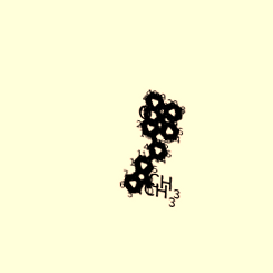 CC1(C)c2ccccc2-c2ccc(-c3cccc(-c4ccc5c(c4)C(c4ccccc4)(c4ccccc4)c4ccccc4O5)c3)cc21